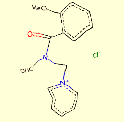 COc1ccccc1C(=O)N(C=O)C[n+]1ccccc1.[Cl-]